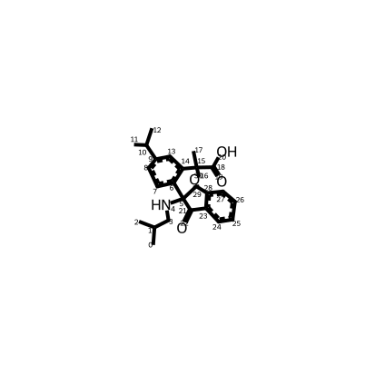 CC(C)CNC1(c2ccc(C(C)C)cc2C(C)(C)C(=O)O)C(=O)c2ccccc2C1=O